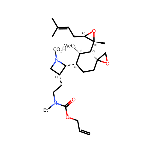 C=CCOC(=O)N(CC)CC[C@@H]1CN(C(=O)O)C1[C@H]1CCC2(CO2)[C@@H]([C@@]2(C)O[C@@H]2CC=C(C)C)[C@H]1OC